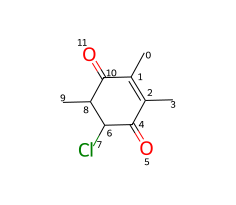 CC1=C(C)C(=O)C(Cl)C(C)C1=O